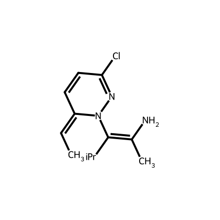 C/C=C1/C=CC(Cl)=NN1/C(=C(/C)N)C(C)C